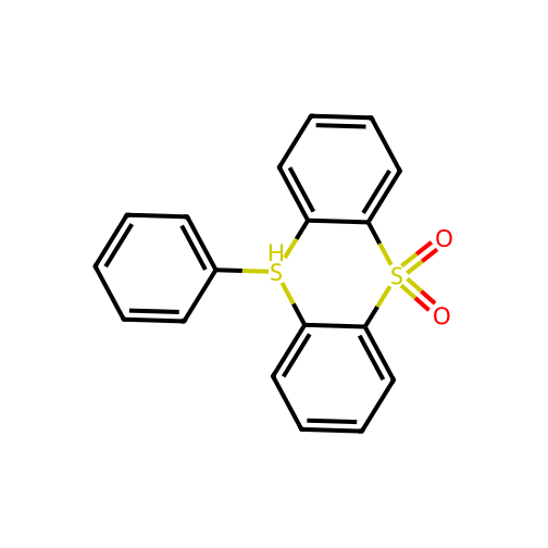 O=S1(=O)c2ccccc2[SH](c2ccccc2)c2ccccc21